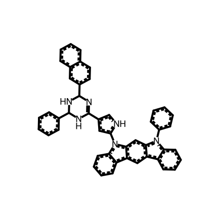 c1ccc(C2NC(c3c[nH]c(-n4c5ccccc5c5cc6c7ccccc7n(-c7ccccc7)c6cc54)c3)=NC(c3ccc4ccccc4c3)N2)cc1